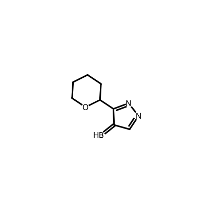 B=C1C=NN=C1C1CCCCO1